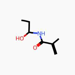 C=C(C)C(=O)NC(O)CC